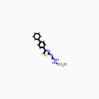 CCOC(=O)NN/C=N/c1nc(-c2ccc(C3CCCCC3)cc2)cs1